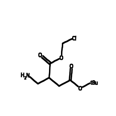 CC(C)(C)OC(=O)CC(CN)C(=O)OCCl